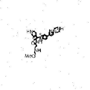 COCCNCCC(=O)Nc1sc2c(c1-c1nc3ccc(-c4ccc(N5CCNCC5)nc4)cc3s1)CCNC2